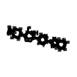 C[C@@H](NC(=O)c1ccc(-n2nc3ccccc3n2)nc1)C(=O)N1CCC2(CC1)CC2